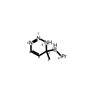 CC(C)BC1(C)C=CN=NN1